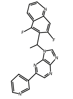 CC(c1c(F)cc2ncccc2c1F)n1cnc2ncc(-c3cccnc3)nc21